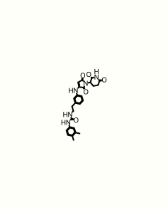 Cc1ccc(NC(=O)NCCc2cccc(NC3=CC(=O)N(C4CCC(=O)NC4=O)C3=O)c2)cc1C